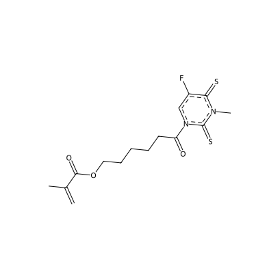 C=C(C)C(=O)OCCCCCC(=O)n1cc(F)c(=S)n(C)c1=S